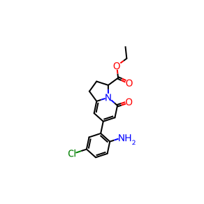 CCOC(=O)C1CCc2cc(-c3cc(Cl)ccc3N)cc(=O)n21